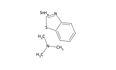 CN(C)C.[SnH4].c1ccc2scnc2c1